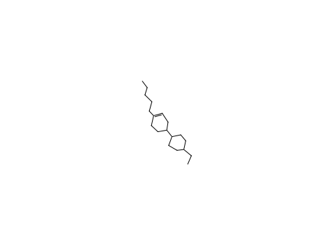 CCCCCC1=CCC(C2CCC(CC)CC2)CC1